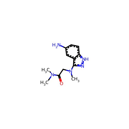 CN(C)C(=O)CN(C)c1n[nH]c2ccc(N)cc12